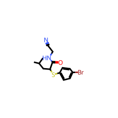 CC(C)CC(Sc1ccc(Br)cc1)C(=O)NCC#N